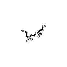 N#CCCS(=O)(=O)OCOS(=O)(=O)CCC#N